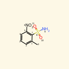 Cc1cccc([N+](=O)[O-])c1S(N)(=O)=O